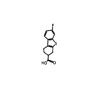 O=C(O)C1CCc2c(sc3cc(F)ccc23)C1